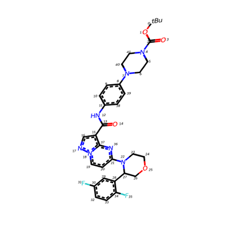 CC(C)(C)OC(=O)N1CCN(c2ccc(NC(=O)c3cnn4ccc(N5CCOCC5c5cc(F)ccc5F)nc34)cc2)CC1